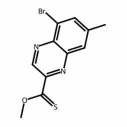 COC(=S)c1cnc2c(Br)cc(C)cc2n1